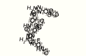 Nc1ncc(-c2ccc(S(=O)(=O)C3CCOCC3)cc2)nc1-c1cc(-c2ccc(CN[C@@H]3CC(c4nc(N)c(-c5cc(-c6ccc(CN[C@H]7CCOC7)cc6F)no5)nc4-c4ccc(S(=O)(=O)C5CCOCC5)cc4)CO3)cc2F)no1